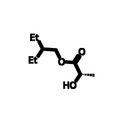 CCC(CC)COC(=O)[C@H](C)O